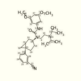 COc1cc(NC(=O)N(CCN(C(C)C)C(C)C)[C@H]2CC[C@]3(c4cccc(C#N)c4)CC3C2)cc(OC)c1